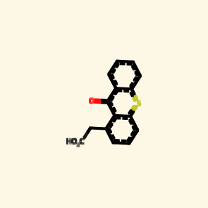 O=C(O)Cc1cccc2sc3ccccc3c(=O)c12